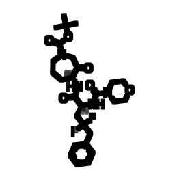 CC(C)(C)OC(=O)N1CCC[C@H](NC(=O)[C@H](CC(F)(F)Cc2ccccc2)NC(=O)N2CCOCC2)C(=O)C1